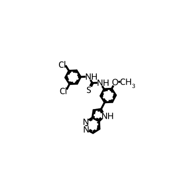 COc1ccc(-c2cc3nnccc3[nH]2)cc1NC(=S)Nc1cc(Cl)cc(Cl)c1